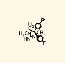 C=C1[C@@H](c2ccc(C3CC3)cc2)[C@@](C)(c2ccc(F)cc2F)NC(=N)N1C